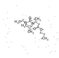 CCCOC(=O)CC(C)N(CC(C)C)C(=O)OCC